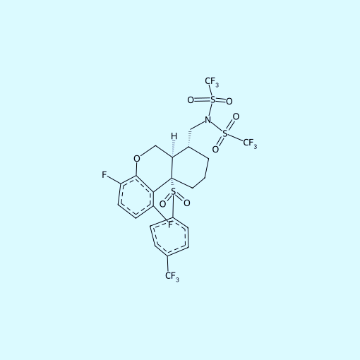 O=S(=O)(N(C[C@@H]1CCC[C@@]2(S(=O)(=O)c3ccc(C(F)(F)F)cc3)c3c(F)ccc(F)c3OC[C@@H]12)S(=O)(=O)C(F)(F)F)C(F)(F)F